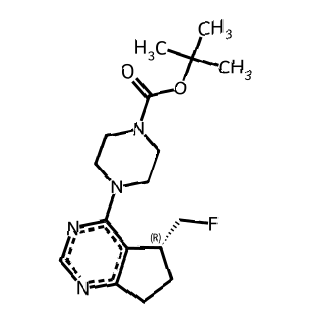 CC(C)(C)OC(=O)N1CCN(c2ncnc3c2[C@H](CF)CC3)CC1